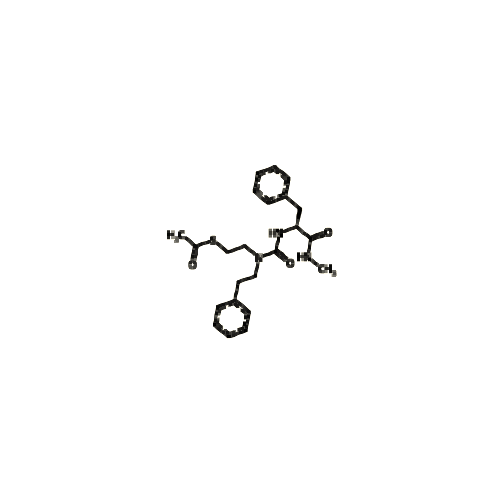 CNC(=O)[C@H](Cc1ccccc1)NC(=O)N(CCSC(C)=O)CCc1ccccc1